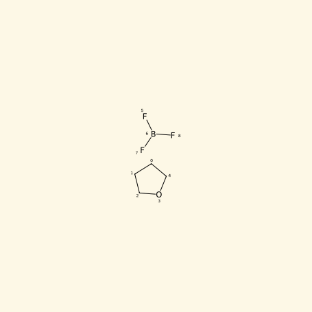 C1CCOC1.FB(F)F